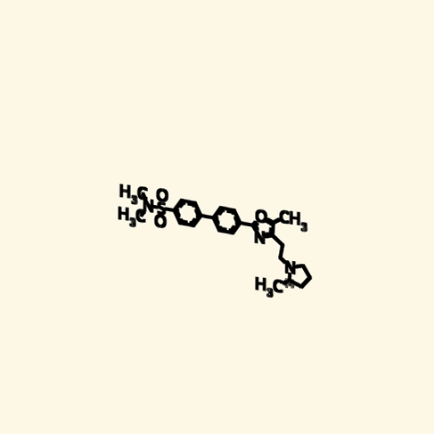 Cc1oc(-c2ccc(-c3ccc(S(=O)(=O)N(C)C)cc3)cc2)nc1CCN1CCC[C@H]1C